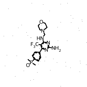 CP(C)(=O)c1ccc(-c2nc(N)nc(NCN3CCOCC3)c2C(F)(F)F)cc1